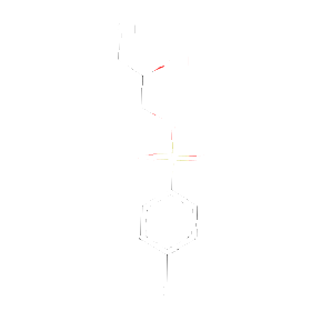 CC[C@@H](O)COS(=O)(=O)c1ccc(C)cc1